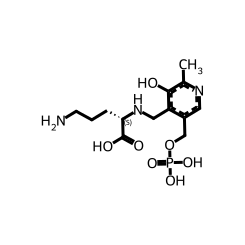 Cc1ncc(COP(=O)(O)O)c(CN[C@@H](CCCN)C(=O)O)c1O